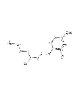 CCC(=CCOc1ccc(C=O)cc1Cl)CCOC(C)CC